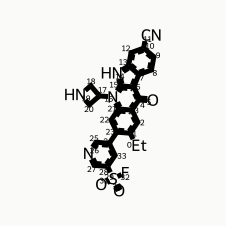 CCc1cc2c(=O)c3c4ccc(C#N)cc4[nH]c3n(C3CNC3)c2cc1-c1cncc(S(=O)(=O)F)c1